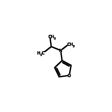 CC(C)N(C)c1ccoc1